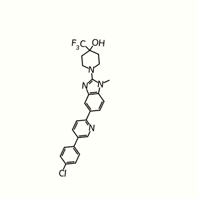 Cn1c(N2CCC(O)(C(F)(F)F)CC2)nc2cc(-c3ccc(-c4ccc(Cl)cc4)cn3)ccc21